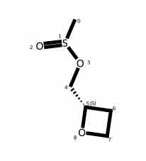 CS(=O)OC[C@@H]1CCO1